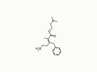 CC(C(=O)OCCN(C)C)=C(CCN)Cc1ccccc1